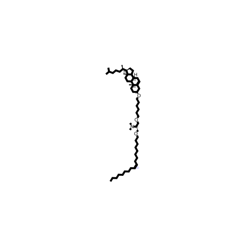 CCCCCCCC/C=C\CCCCCCCCOC[C@@H](COCCCCCCO[C@H]1CC[C@@]2(C)C(=CC[C@@H]3C2CC[C@@]2(C)C3CC[C@@H]2[C@H](C)CCCC(C)C)C1)N(C)C